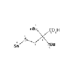 CCCCC(CCCC)(C[S][Sn])C(=O)O